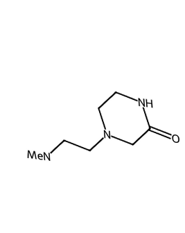 CNCCN1CCNC(=O)C1